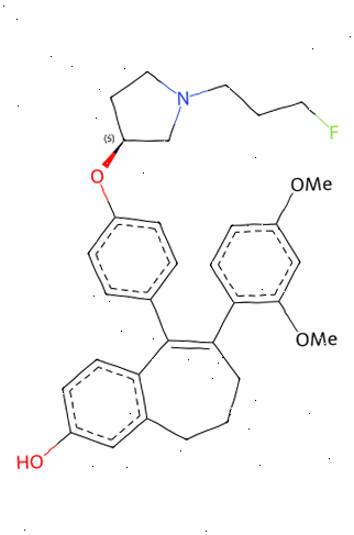 COc1ccc(C2=C(c3ccc(O[C@H]4CCN(CCCF)C4)cc3)c3ccc(O)cc3CCC2)c(OC)c1